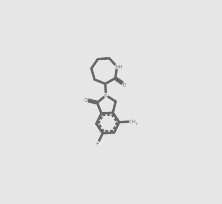 Cc1cc(F)cc2c1CN(C1CCCCNC1=O)C2=O